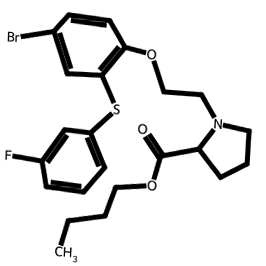 CCCCOC(=O)C1CCCN1CCOc1ccc(Br)cc1Sc1cccc(F)c1